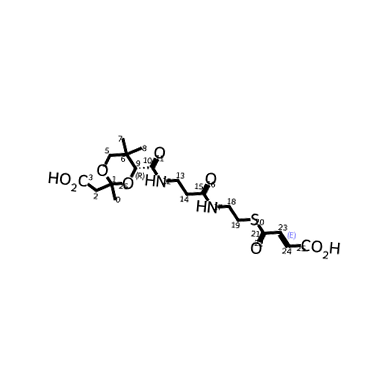 CC1(CC(=O)O)OCC(C)(C)[C@H](C(=O)NCCC(=O)NCCSC(=O)/C=C/C(=O)O)O1